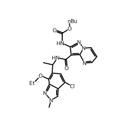 CCCCOC(=O)Nc1nn2cccnc2c1C(=O)NC(C)c1cc(Cl)c2cn(C)nc2c1OCC